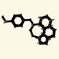 COc1ccc(CN2CCn3ncc4ccc5ncnc2c5c43)cc1